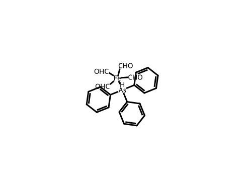 O=[CH][Fe]([CH]=O)([CH]=O)([CH]=O)[AsH](c1ccccc1)(c1ccccc1)c1ccccc1